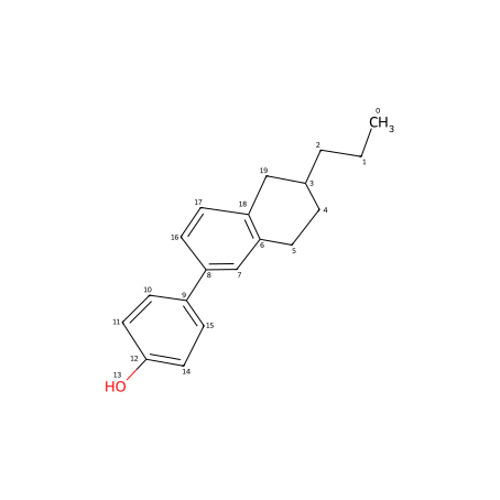 CCCC1CCc2cc(-c3ccc(O)cc3)ccc2C1